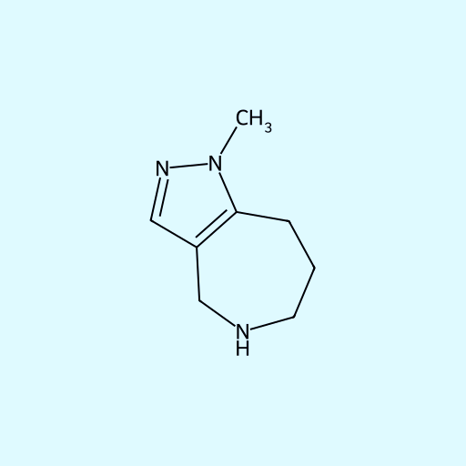 Cn1ncc2c1CCCNC2